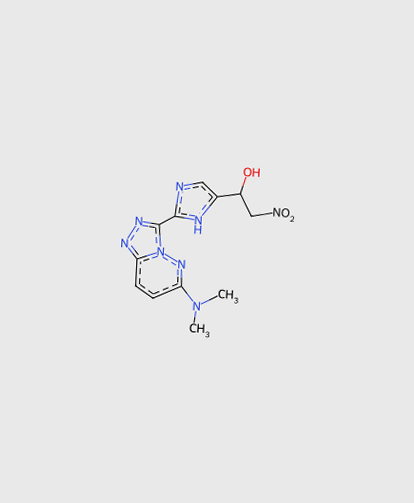 CN(C)c1ccc2nnc(-c3ncc(C(O)C[N+](=O)[O-])[nH]3)n2n1